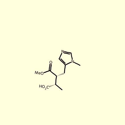 COC(=O)[C@H](Cc1cncn1C)[C@H](C)C(=O)O